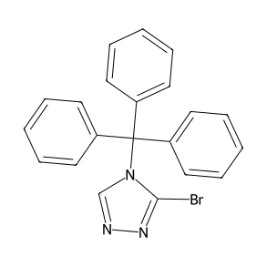 Brc1nncn1C(c1ccccc1)(c1ccccc1)c1ccccc1